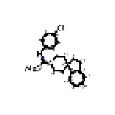 CS/C(=N/c1ccc(Cl)cc1)N1CCC2(CCc3ccccc32)CC1